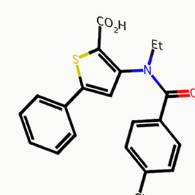 CCN(C(=O)c1ccc(C)cc1)c1cc(-c2ccccc2)sc1C(=O)O